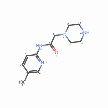 CC(C)(C)c1ccc(NC(=O)CN2CCNCC2)nc1